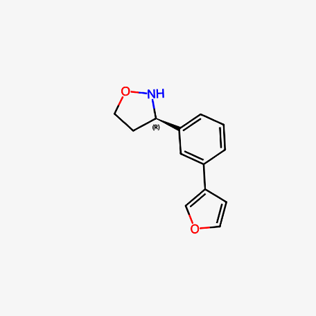 c1cc(-c2ccoc2)cc([C@H]2CCON2)c1